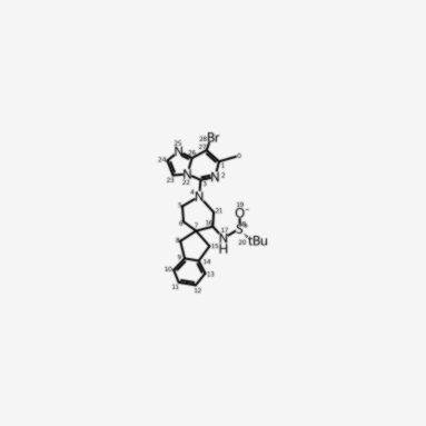 Cc1nc(N2CCC3(Cc4ccccc4C3)C(N[S@+]([O-])C(C)(C)C)C2)n2ccnc2c1Br